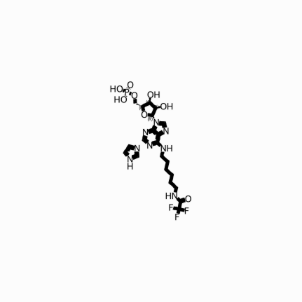 O=C(NCCCCCCNc1ncnc2c1ncn2[C@@H]1O[C@H](COP(=O)(O)O)[C@@H](O)[C@H]1O)C(F)(F)F.c1c[nH]cn1